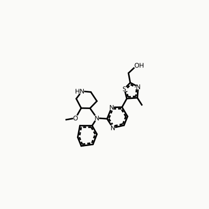 COC1CNCCC1N(c1ccccc1)c1nccc(-c2sc(CO)nc2C)n1